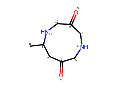 CC1CC(=O)CNCC(=O)CN1